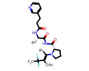 CC(=O)O/C(=C(/C(C)C)N1CCC[C@H]1C(=O)NC(=O)[C@@H](NC(=O)CCc1cccnc1)C(C)C)C(F)(F)C(F)(F)F